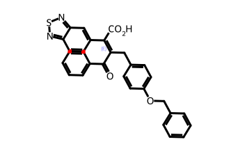 O=C(O)/C(=C(\Cc1ccc(OCc2ccccc2)cc1)C(=O)c1ccccc1)c1ccc2nsnc2c1